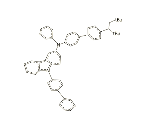 CC(C)(C)CC(c1ccc(-c2ccc(N(c3ccccc3)c3ccc4c(c3)c3ccccc3n4-c3ccc(-c4ccccc4)cc3)cc2)cc1)C(C)(C)C